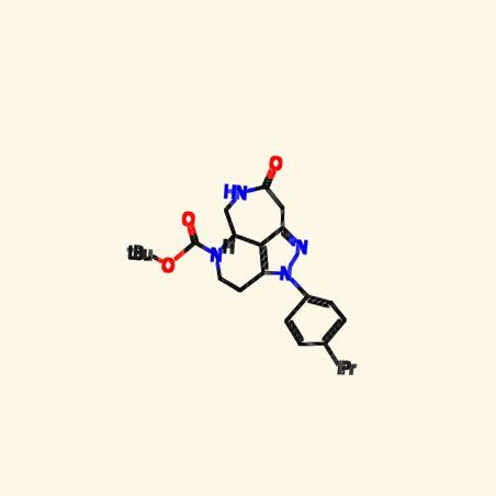 CC(C)c1ccc(-n2nc3c4c2CCN(C(=O)OC(C)(C)C)[C@H]4CNC(=O)C3)cc1